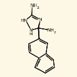 NC1=NC(N)(c2ccc3ccccc3c2)NN1